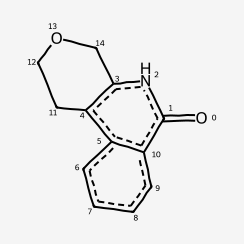 O=c1[nH]c2c(c3ccccc13)CCOC2